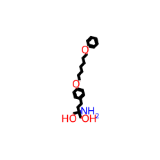 NC(CO)(CO)CCc1ccc(OCCCCCCCOc2ccccc2)cc1